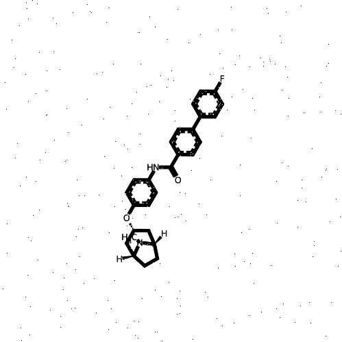 CN1[C@@H]2CC[C@H]1C[C@@H](Oc1ccc(NC(=O)c3ccc(-c4ccc(F)cc4)cc3)cc1)C2